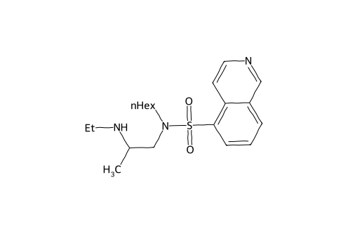 CCCCCCN(CC(C)NCC)S(=O)(=O)c1cccc2cnccc12